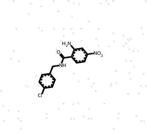 Nc1cc([N+](=O)[O-])ccc1C(=O)NCc1ccc(Cl)cc1